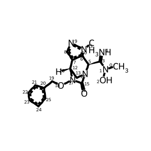 CN(O)C(=N)[C@@H]1c2c(cnn2C)[C@@H]2CN1C(=O)N2OCc1ccccc1